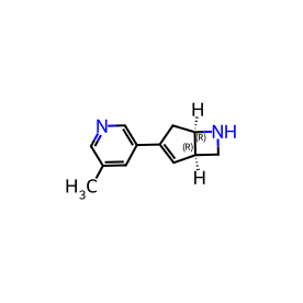 Cc1cncc(C2=C[C@@H]3CN[C@@H]3C2)c1